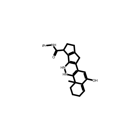 CC(C)NC(=O)C1CCC2=C1C1=C(C2)C2=C(NN1)C1(C)CCCC=C1C(O)=C2